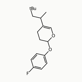 CC(CC(C)(C)C)C1=COC(Oc2ccc(F)cc2)CC1